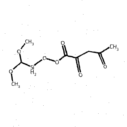 COC(OC)[SiH2]OOC(=O)C(=O)CC(C)=O